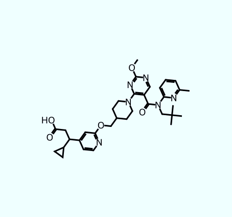 COc1ncc(C(=O)N(CC(C)(C)C)c2cccc(C)n2)c(N2CCC(COc3cc(C(CC(=O)O)C4CC4)ccn3)CC2)n1